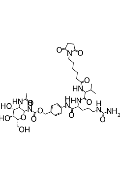 CC(=O)N[C@H]1C(NC(=O)OCc2ccc(NC(=O)C(CCCNC(N)=O)NC(=O)C(NC(=O)CCCCCN3C(=O)CCC3=O)C(C)C)cc2)O[C@H](CO)[C@@H](O)[C@@H]1O